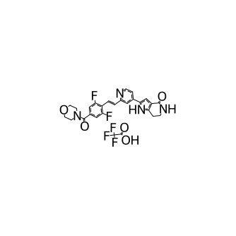 O=C(O)C(F)(F)F.O=C1NCCc2[nH]c(-c3ccnc(C=Cc4c(F)cc(C(=O)N5CCOCC5)cc4F)c3)cc21